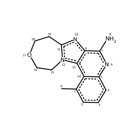 Cc1cccc2nc(N)c3nc4n(c3c12)CCOCC4